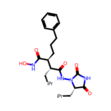 CC(C)C[C@@H](C(=O)NN1C(=O)NC(=O)[C@@H]1CC(C)C)[C@H](CCCc1ccccc1)C(=O)NO